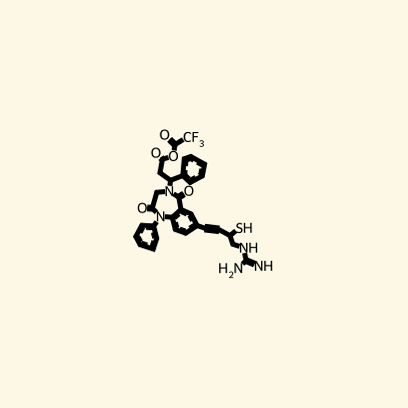 N=C(N)NCC(S)C#Cc1ccc2c(c1)C(=O)N(C(CC(=O)OC(=O)C(F)(F)F)c1ccccc1)CC(=O)N2c1ccccc1